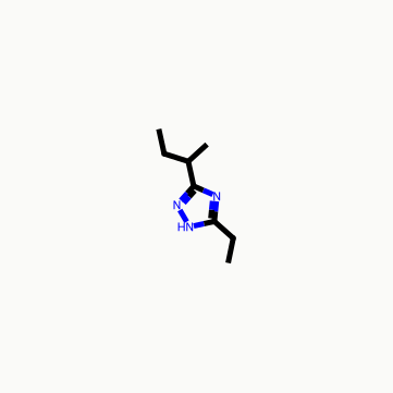 CCc1nc(C(C)CC)n[nH]1